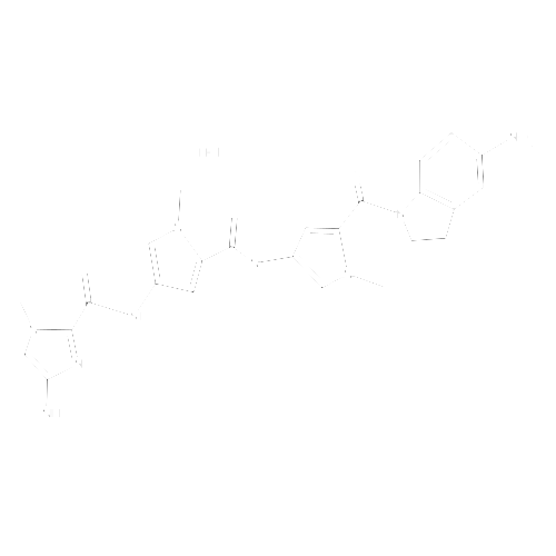 Cl.Cn1cc(NC(=O)c2nc(N)cn2C)cc1C(=O)Nc1cc(C(=O)N2CCc3cc([N+](=O)[O-])ccc32)n(C)c1